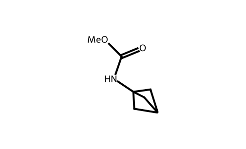 COC(=O)NC12CC(C1)C2